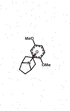 COc1ccc(OC)c(N2C3CCC2CC(=O)C3)c1